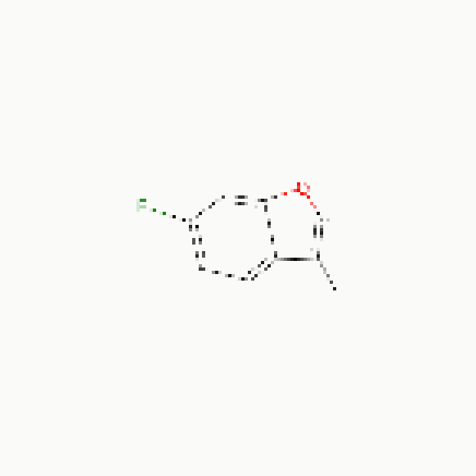 Cc1[c]oc2cc(F)ccc12